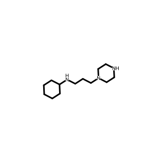 C1CCC(NCCCN2CCNCC2)CC1